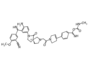 CNC(=O)OC(=N)c1ccc(C2=CCN(C(=O)CN3CC[C@]4(CCN(c5ccc(N)c(C(=N)c6ccc(OC)c(C#N)c6)c5)C4=O)C3)CC2)cc1